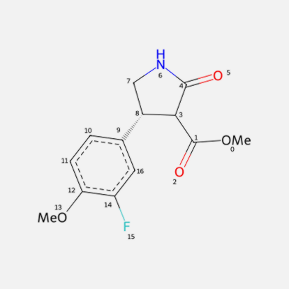 COC(=O)C1C(=O)NC[C@H]1c1ccc(OC)c(F)c1